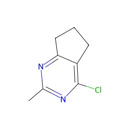 Cc1nc(Cl)c2c(n1)CCC2